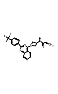 C=CC(=O)NC1CN(c2nc(-c3ccc(C(F)(F)F)cc3)nc3cnccc23)C1